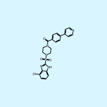 O=C(c1ccc(-c2ccncc2)cc1)N1CCN(S(=O)(=O)c2nc3c(Cl)cccc3[nH]2)CC1